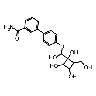 NC(=O)c1cccc(-c2ccc(OC(O)C3(O)C(O)C(O)C3CO)cc2)c1